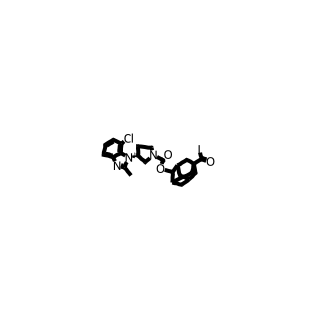 Cc1nc2cccc(Cl)c2n1[C@H]1CCN(C(=O)OC2C3CC4CC2CC(C(=O)I)(C4)C3)C1